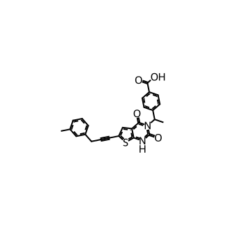 Cc1cccc(CC#Cc2cc3c(=O)n(C(C)c4ccc(C(=O)O)cc4)c(=O)[nH]c3s2)c1